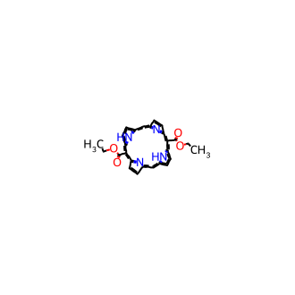 CCOC(=O)c1c2nc(cc3ccc([nH]3)c(C(=O)OCC)c3nc(cc4ccc1[nH]4)C=C3)C=C2